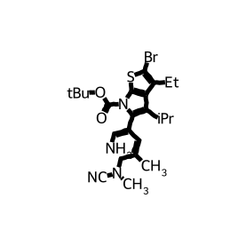 CCc1c(Br)sc2c1c(C(C)C)c(C(/C=C(/C)CN(C)C#N)=C/N)n2C(=O)OC(C)(C)C